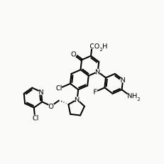 Nc1cc(F)c(-n2cc(C(=O)O)c(=O)c3cc(Cl)c(N4CCC[C@@H]4COc4ncccc4Cl)cc32)cn1